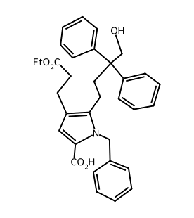 CCOC(=O)CCc1cc(C(=O)O)n(Cc2ccccc2)c1CCC(CO)(c1ccccc1)c1ccccc1